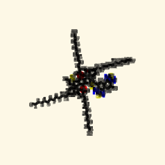 CCCCCCCCCCCCc1ccc(C2(c3ccc(CCCCCCCCCCCC)cc3)c3cc(C)sc3-c3c(OC)c4c(c(OC)c32)-c2sc(-c3cc5c(cc(C)c6nsnc65)c5nsnc35)cc2C4(c2ccc(CCCCCCCCCCCC)cc2)c2ccc(CCCCCCCCCCCC)cc2)cc1